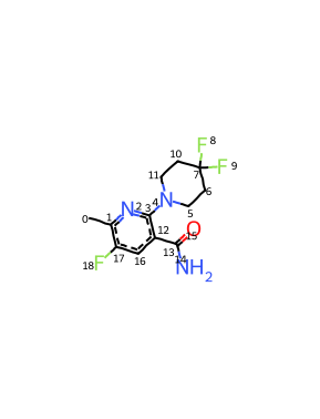 Cc1nc(N2CCC(F)(F)CC2)c(C(N)=O)cc1F